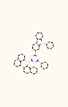 c1ccc(-c2nc(-c3ccc4c5ccccc5n(-c5ccccc5)c4c3)nc(N3c4c(ccc5ccccc45)-c4cccc5cccc3c45)n2)cc1